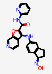 O=C(Nc1ccccn1)c1oc2cnccc2c1Nc1ccc2c(c1)CCC2=NO